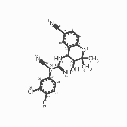 CC1(C)Oc2ccc(C#N)cc2C(NC(=N)N(C#N)c2ccc(Cl)c(Cl)c2)C1O